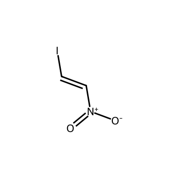 O=[N+]([O-])C=CI